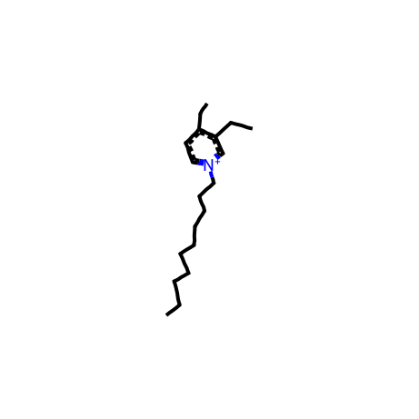 CCCCCCCCCC[n+]1ccc(CC)c(CC)c1